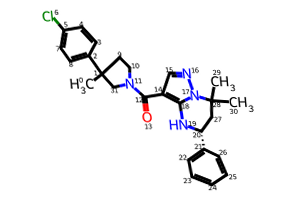 CC1(c2ccc(Cl)cc2)CCN(C(=O)c2cnn3c2N[C@@H](c2ccccc2)CC3(C)C)C1